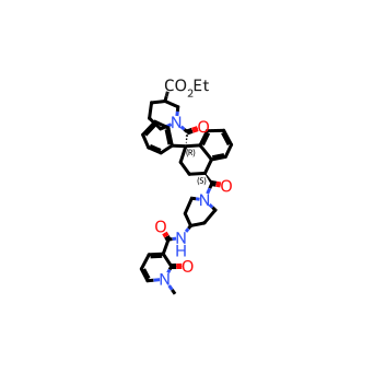 CCOC(=O)C1CCCN(C(=O)[C@@]2(c3ccccc3)CC[C@H](C(=O)N3CCC(NC(=O)c4cccn(C)c4=O)CC3)c3ccccc32)C1